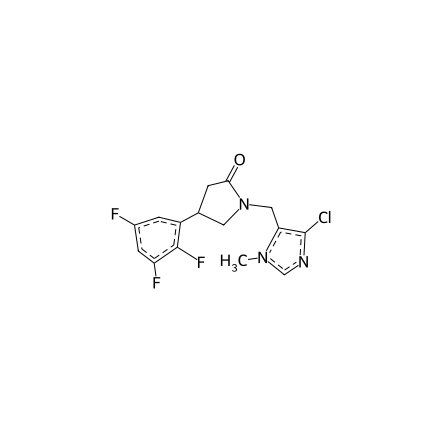 Cn1cnc(Cl)c1CN1CC(c2cc(F)cc(F)c2F)CC1=O